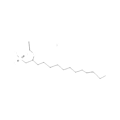 CCCCCCCCCCCCC(CS(=O)(=O)[O-])OCC.[K+]